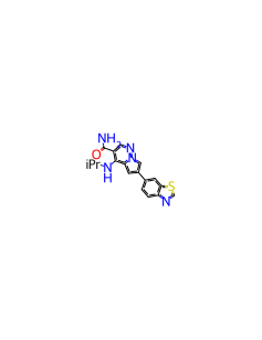 CC(C)Nc1c(C(N)=O)cnn2cc(-c3ccc4ncsc4c3)cc12